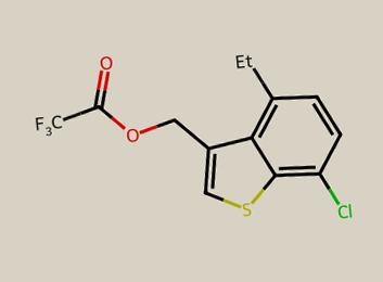 CCc1ccc(Cl)c2scc(COC(=O)C(F)(F)F)c12